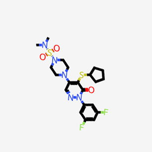 CN(C)S(=O)(=O)N1CCN(c2cnn(-c3cc(F)cc(F)c3)c(=O)c2SC2CCCC2)CC1